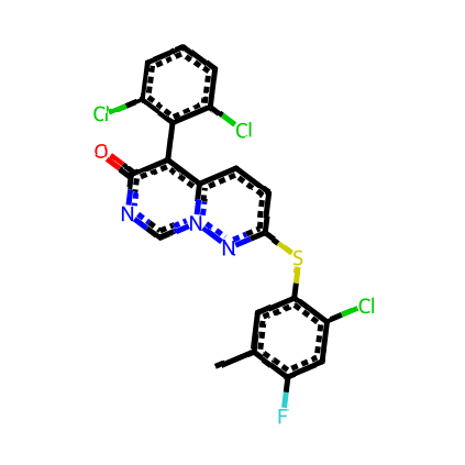 Cc1cc(Sc2ccc3c(-c4c(Cl)cccc4Cl)c(=O)ncn3n2)c(Cl)cc1F